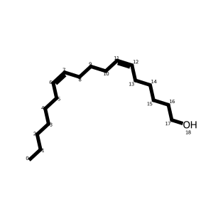 CCCCCC/C=C\CCC/C=C\CCCCCO